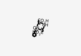 O=C(O)CN1CCNCCN(CC(=O)O)CCN(C(=O)OCc2ccccc2)CC1